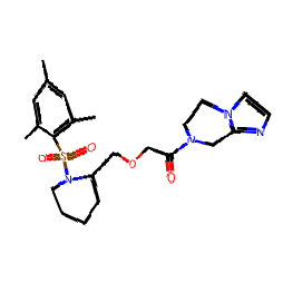 Cc1cc(C)c(S(=O)(=O)N2CCCCC2COCC(=O)N2CCn3ccnc3C2)c(C)c1